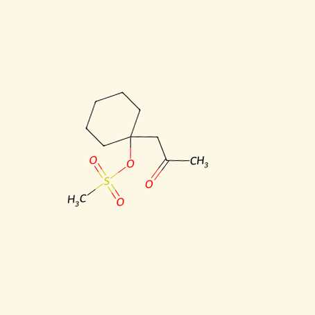 CC(=O)CC1(OS(C)(=O)=O)CCCCC1